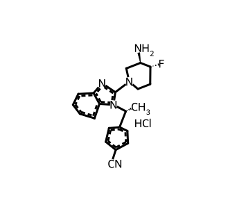 C[C@H](c1ccc(C#N)cc1)n1c(N2CC[C@@H](F)[C@H](N)C2)nc2ccccc21.Cl